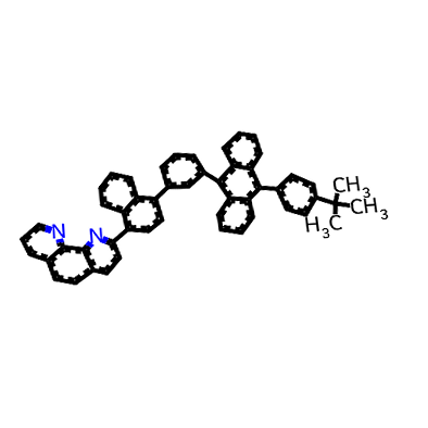 CC(C)(C)c1ccc(-c2c3ccccc3c(-c3cccc(-c4ccc(-c5ccc6ccc7cccnc7c6n5)c5ccccc45)c3)c3ccccc23)cc1